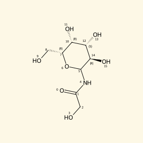 O=C(CO)NC1O[C@H](CO)[C@H](O)[C@H](O)[C@H]1O